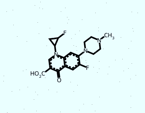 CN1CCN(c2cc3c(cc2F)c(=O)c(C(=O)O)cn3C2CC2F)CC1